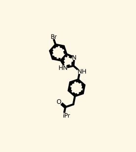 CC(C)C(=O)Cc1ccc(Nc2nc3cc(Br)ccc3[nH]2)cc1